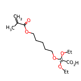 C=C(C)C(=O)OCCCCCO[Si](OCC)(OCC)C(=O)O